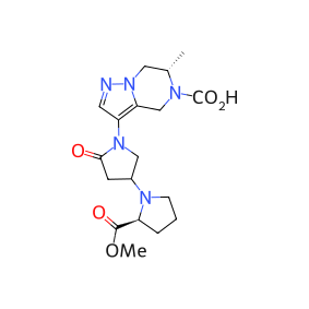 COC(=O)[C@@H]1CCCN1C1CC(=O)N(c2cnn3c2CN(C(=O)O)[C@@H](C)C3)C1